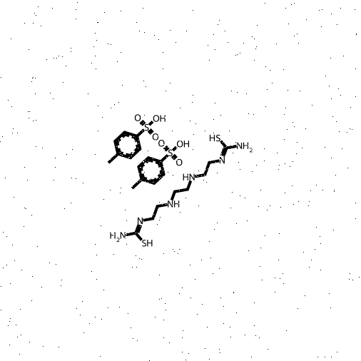 Cc1ccc(S(=O)(=O)O)cc1.Cc1ccc(S(=O)(=O)O)cc1.NC(S)=NCCNCCNCCN=C(N)S